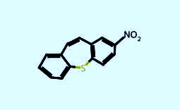 O=[N+]([O-])c1ccc2c(c1)C=Cc1ccccc1S2